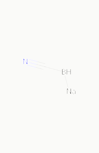 N#C[BH][Na]